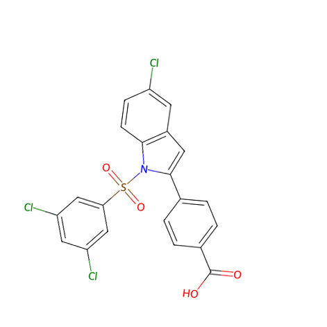 O=C(O)c1ccc(-c2cc3cc(Cl)ccc3n2S(=O)(=O)c2cc(Cl)cc(Cl)c2)cc1